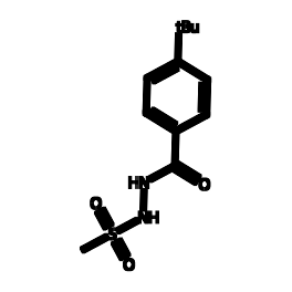 CC(C)(C)c1ccc(C(=O)NNS(C)(=O)=O)cc1